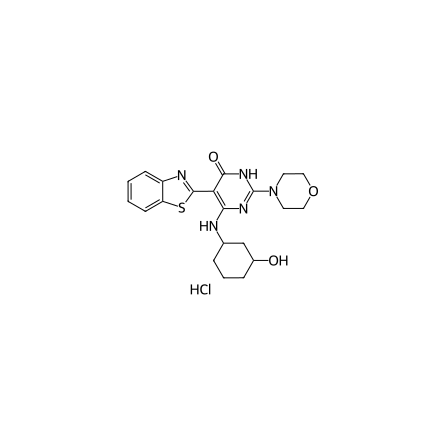 Cl.O=c1[nH]c(N2CCOCC2)nc(NC2CCCC(O)C2)c1-c1nc2ccccc2s1